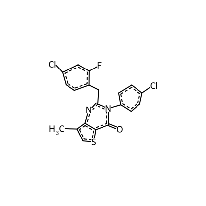 Cc1csc2c(=O)n(-c3ccc(Cl)cc3)c(Cc3ccc(Cl)cc3F)nc12